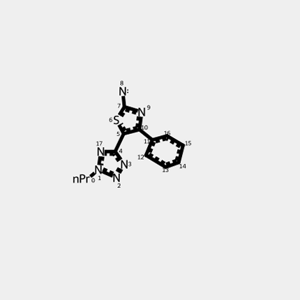 CCCn1nnc(-c2sc([N])nc2-c2ccccc2)n1